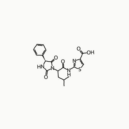 CC(C)CC(C(=O)Nc1nc(C(=O)O)cs1)N1C(=O)N[C@@H](c2ccccc2)C1=O